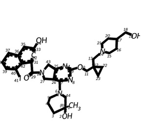 C[C@@]1(O)CCCN(c2nc(OCC3(CN4CCC(CO)CC4)CC3)nc3c2CN(C(=O)c2cc(O)cc4cccc(I)c24)C3)C1